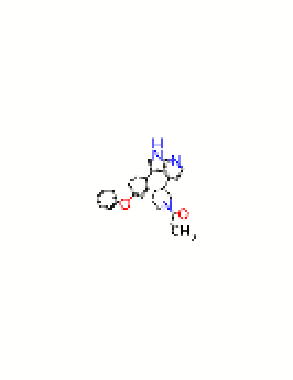 C=CC(=O)N1CCCC(c2ccnc3[nH]cc(-c4ccc(Oc5ccccc5)cc4)c23)C1